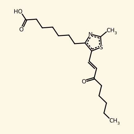 CCCCCC(=O)/C=C/c1sc(C)nc1CCCCCCC(=O)O